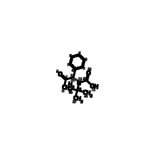 CC(=O)[C@H](c1ccccc1)N(C(=O)O)C(C)(C)C